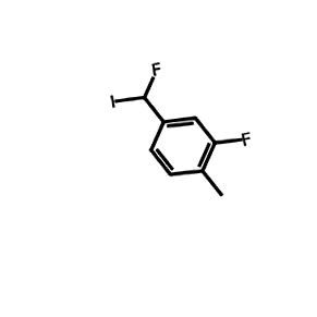 Cc1ccc(C(F)I)cc1F